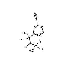 CC1(C)Oc2ccc(C#N)cc2C(N)(O)C1O